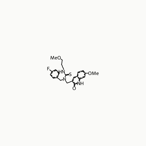 COCCCNC(=S)N(Cc1ccc(F)cc1)Cc1cc2ccc(OC)cc2[nH]c1=O